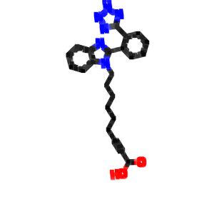 O=C(O)C#CCCCCCCn1c(-c2ccccc2-c2nn[nH]n2)nc2ccccc21